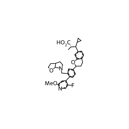 COc1cc(-c2ccc(C3CCc4ccc(C(C5CC5)[C@H](C)C(=O)O)cc4O3)cc2CN2CCC3CCOC32)c(F)cn1